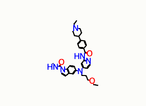 CCOCCCN(c1ccnc(NC(=O)c2ccc(C3CCN(CC)CC3)cc2)c1)c1ccc2c(ccn2C(=O)NC)c1